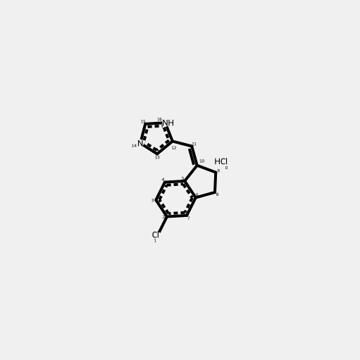 Cl.Clc1ccc2c(c1)CC/C2=C/c1cnc[nH]1